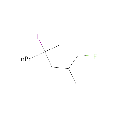 CCCC(C)(I)CC(C)CF